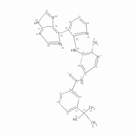 Cc1ncc(NC(=O)c2cccc(C(C)(C)C#N)c2)cc1Nc1ncccc1-c1ncnc2[nH]cnc12